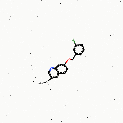 COCc1cnc2cc(OCc3cccc(Cl)c3)ccc2c1